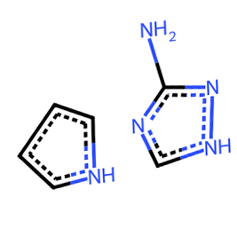 Nc1nc[nH]n1.c1cc[nH]c1